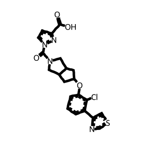 O=C(O)c1ccn(C(=O)N2CC3CC(Oc4cccc(-c5cscn5)c4Cl)CC3C2)n1